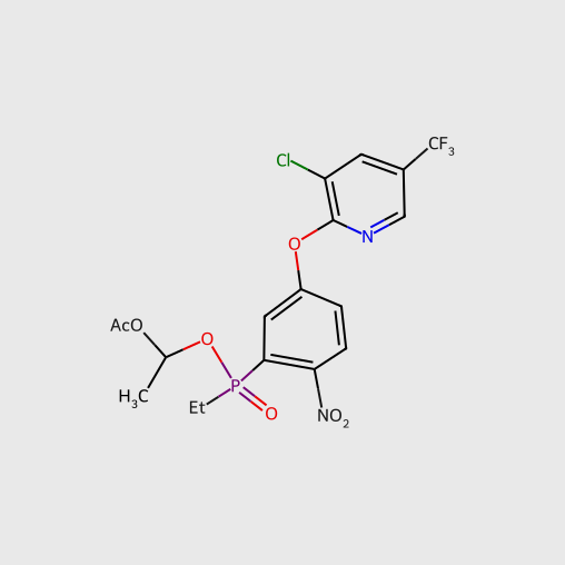 CCP(=O)(OC(C)OC(C)=O)c1cc(Oc2ncc(C(F)(F)F)cc2Cl)ccc1[N+](=O)[O-]